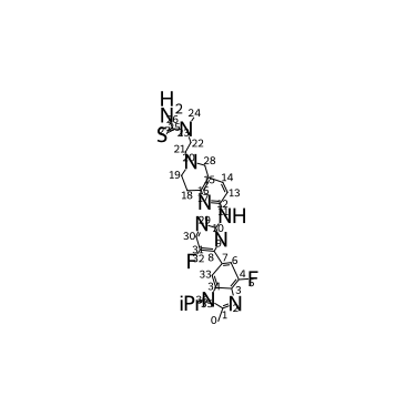 Cc1nc2c(F)cc(-c3nc(Nc4ccc5c(n4)CCN(CCN(C)C(N)=S)C5)ncc3F)cc2n1C(C)C